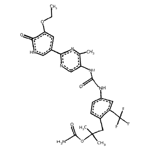 CCOc1cc(-c2ncc(NC(=O)Nc3ccc(CC(C)(C)OC(N)=O)c(C(F)(F)F)c3)c(C)n2)c[nH]c1=O